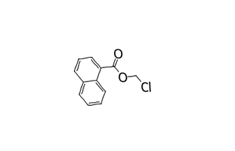 O=C(OCCl)c1cccc2ccccc12